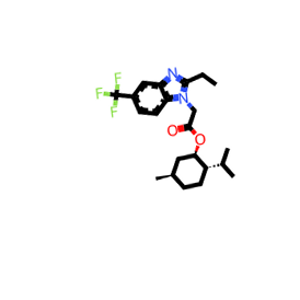 CCc1nc2cc(C(F)(F)F)ccc2n1CC(=O)O[C@@H]1C[C@H](C)CC[C@H]1C(C)C